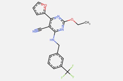 CCOc1nc(NCc2cccc(C(F)(F)F)c2)c(C#N)c(-c2ccco2)n1